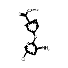 COC(=O)c1ccc(Oc2ncc(Cl)cc2N)cc1